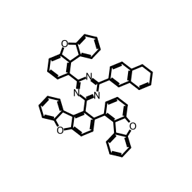 C1=Cc2cc(-c3nc(-c4cccc5oc6ccccc6c45)nc(-c4c(-c5cccc6oc7ccccc7c56)ccc5oc6ccccc6c45)n3)ccc2CC1